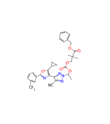 CC(OC(=O)OCC(C)(C)C(=O)OCc1ccccc1)n1nc(C#N)c(-c2nc(-c3cccc(C(F)(F)F)c3)oc2C2CC2)n1